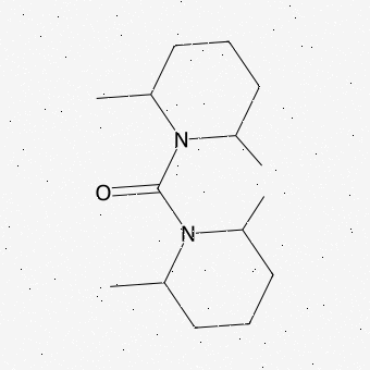 CC1CCCC(C)N1C(=O)N1C(C)CCCC1C